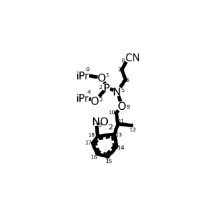 CC(C)OP(OC(C)C)N(CCC#N)OCC(C)c1ccccc1[N+](=O)[O-]